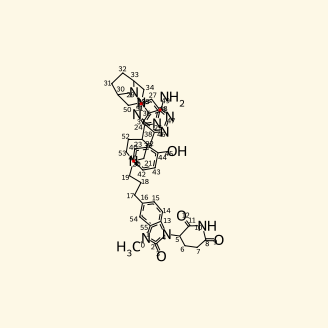 Cn1c(=O)n(C2CCC(=O)NC2=O)c2ccc(CCCN3CCC(c4nccc(N5C6CCC5CN(c5cc(-c7ccccc7O)nnc5N)C6)n4)CC3)cc21